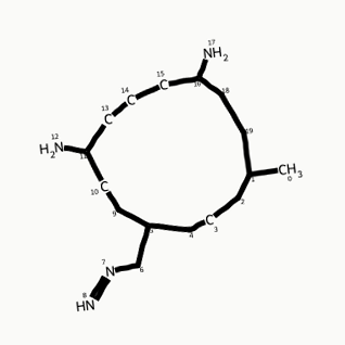 CC1CCCC(CN=N)CCC(N)CCCC(N)CC1